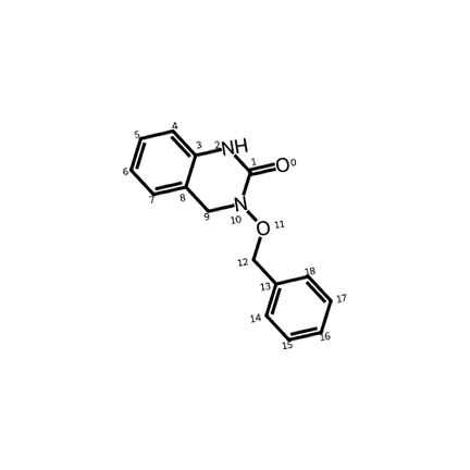 O=C1Nc2ccccc2CN1OCc1ccccc1